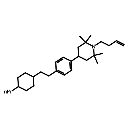 C=CCCN1C(C)(C)CC(c2ccc(CCC3CCC(CCC)CC3)cc2)CC1(C)C